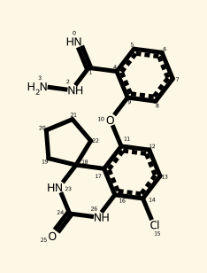 N=C(NN)c1ccccc1Oc1ccc(Cl)c2c1C1(CCCC1)NC(=O)N2